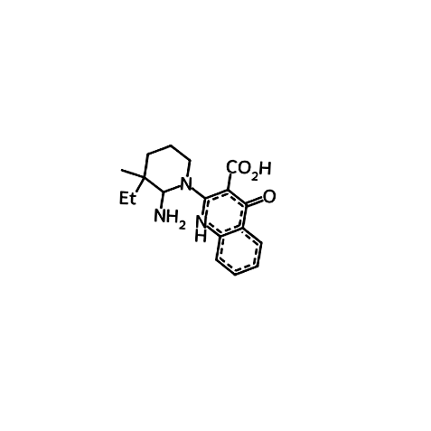 CCC1(C)CCCN(c2[nH]c3ccccc3c(=O)c2C(=O)O)C1N